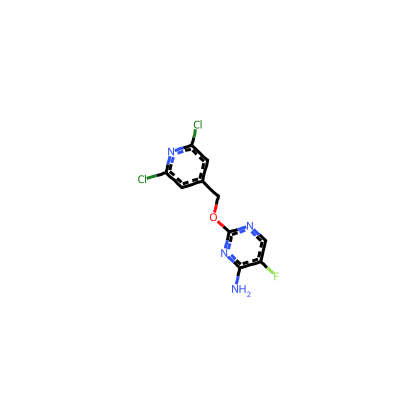 Nc1nc(OCc2cc(Cl)nc(Cl)c2)ncc1F